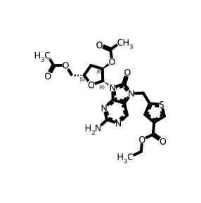 CCOC(=O)c1csc(Cn2c(=O)n([C@@H]3O[C@H](COC(C)=O)C[C@H]3OC(C)=O)c3nc(N)ncc32)c1